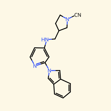 N#CN1CCC(CNc2ccnc(-n3cc4ccccc4c3)c2)C1